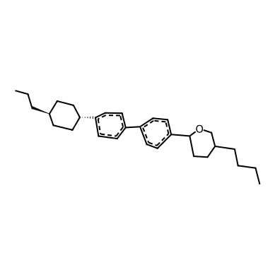 CCCCC1CCC(c2ccc(-c3ccc([C@H]4CC[C@H](CCC)CC4)cc3)cc2)OC1